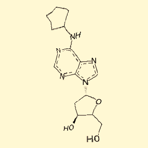 OCC1O[C@@H](n2cnc3c(NC4CCCC4)ncnc32)C[C@@H]1O